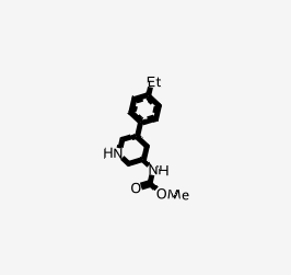 CCc1ccc(C2CNCC(NC(=O)OC)C2)cc1